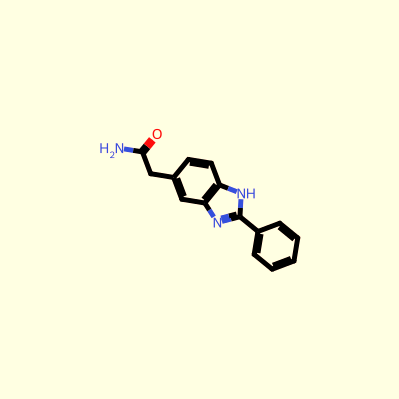 NC(=O)Cc1ccc2[nH]c(-c3ccccc3)nc2c1